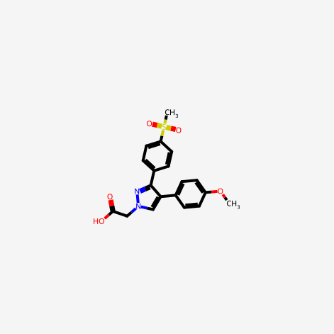 COc1ccc(-c2cn(CC(=O)O)nc2-c2ccc(S(C)(=O)=O)cc2)cc1